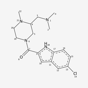 CN(C)CC1CN(C(=O)c2cc3cc(Cl)ccc3[nH]2)CCN1C